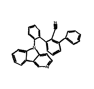 N#Cc1c(-c2ccccc2)cccc1-c1ccccc1-n1c2ccccc2c2cnccc21